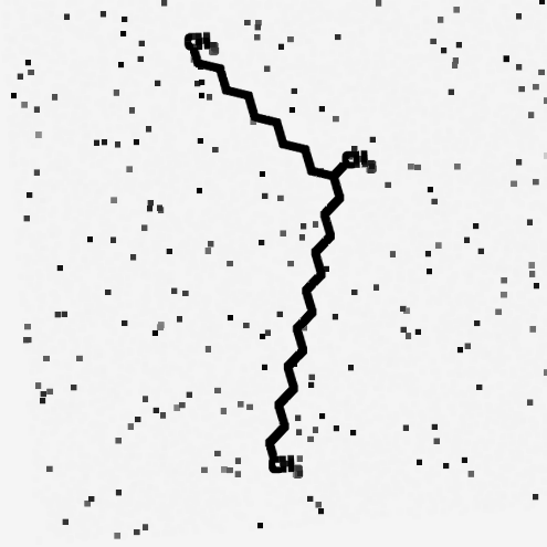 CCCCCCCCCCCCCCCC(C)CCCCCCCCCC